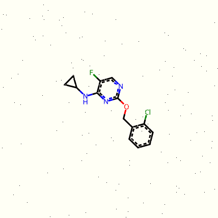 Fc1cnc(OCc2ccccc2Cl)nc1NC1CC1